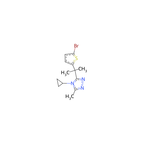 Cc1nnc(C(C)(C)c2ccc(Br)s2)n1C1CC1